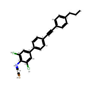 CCCc1ccc(C#Cc2ccc(-c3cc(F)c(N=C=S)c(Cl)c3)cc2)cc1